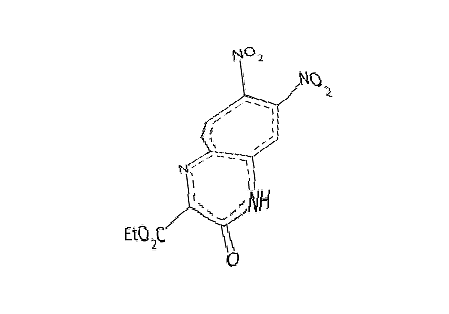 CCOC(=O)c1nc2cc([N+](=O)[O-])c([N+](=O)[O-])cc2[nH]c1=O